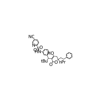 CCCC1(CCc2ccccc2)CC(O)=C(C(c2cccc(NS(=O)(=O)c3ccc(C#N)cn3)c2)C(C)(C)C)C(=O)O1